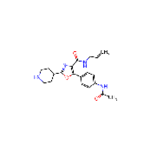 C=CCNC(=O)c1nc(C2CCNCC2)oc1-c1ccc(NC(C)=O)cc1